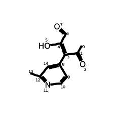 CC(=O)/C(=C(/O)C=O)c1ccnc(C)c1